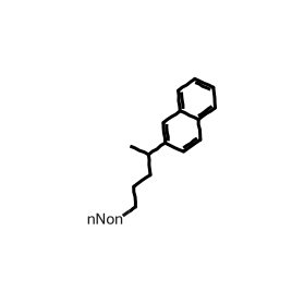 CCCCCCCCCCCCC(C)c1ccc2ccccc2c1